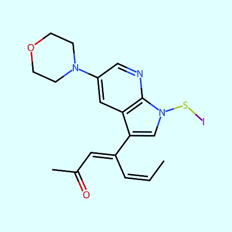 C/C=C\C(=C/C(C)=O)c1cn(SI)c2ncc(N3CCOCC3)cc12